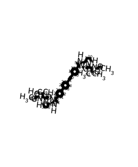 COC(=O)N[C@H](C(=O)N1CCCC1c1nc(-c2ccc(C#Cc3ccc(-c4ccc(-c5c[nH]c([C@@H]6CCCN6C(=O)[C@@H](NC(=O)OC)C(C)C)n5)cc4)cc3)cc2)c[nH]1)C(C)C